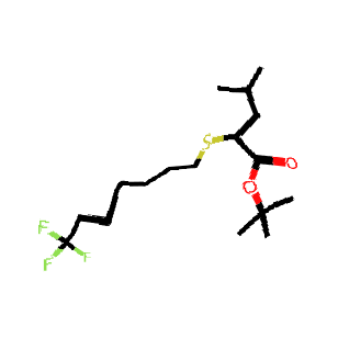 CC(C)CC(SCCCCCCC(F)(F)F)C(=O)OC(C)(C)C